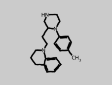 Cc1ccc(N2CCNCC2CCN2CCCc3ccccc32)cc1